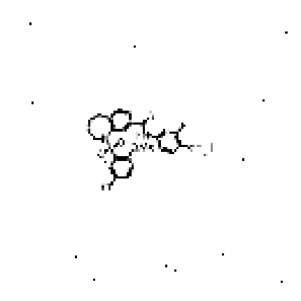 COc1ccc(Cl)cc1S(=O)(=O)N1CCCCc2ccc(C(=O)Nc3ccc(C(=O)O)c(F)c3)cc21